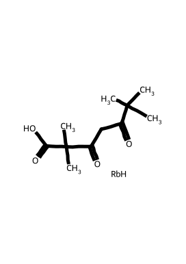 CC(C)(C)C(=O)CC(=O)C(C)(C)C(=O)O.[RbH]